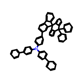 c1ccc(-c2ccc(N(c3ccc(-c4ccccc4)cc3)c3ccc(-c4ccc5c(c4)C4(c6ccccc6-5)c5ccccc5C(c5ccccc5)(c5ccccc5)c5ccccc54)cc3)cc2)cc1